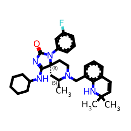 C[C@H]1C[C@]2(CCN1Cc1cccc3c1NC(C)(C)C=C3)C(NC1CCCCC1)=NC(=O)N2c1cccc(F)c1